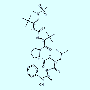 C[C@H](NC(=O)[C@H](CC(F)F)NC(=O)[C@@H]1CCCN1C(=O)[C@@H](NC(=O)N[C@H](CN(C)S(C)(=O)=O)C(C)(C)C)C(C)(C)C)[C@H](O)c1ccccc1